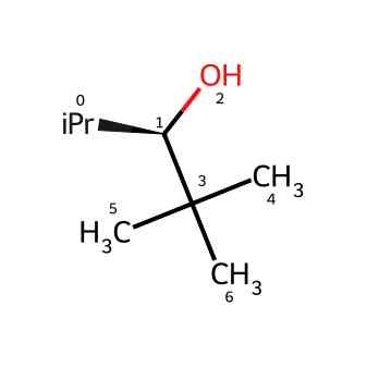 CC(C)[C@@H](O)C(C)(C)C